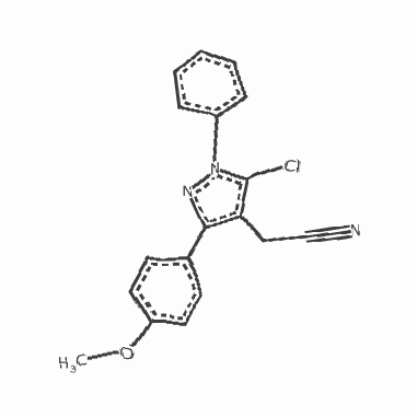 COc1ccc(-c2nn(-c3ccccc3)c(Cl)c2CC#N)cc1